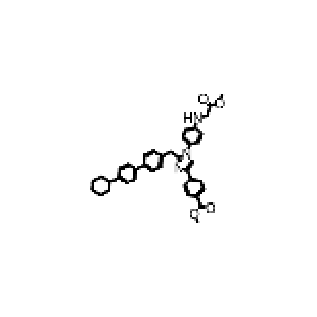 COC(=O)CNc1ccc(-n2cc(-c3ccc(C(=O)OC)cc3)nc2Cc2ccc(-c3ccc(C4CCCCC4)cc3)cc2)cc1